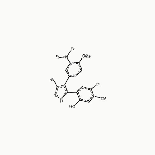 CCc1cc(-c2[nH]nc(S)c2-c2ccc(OC)c(N(CC)CC)c2)c(O)cc1O